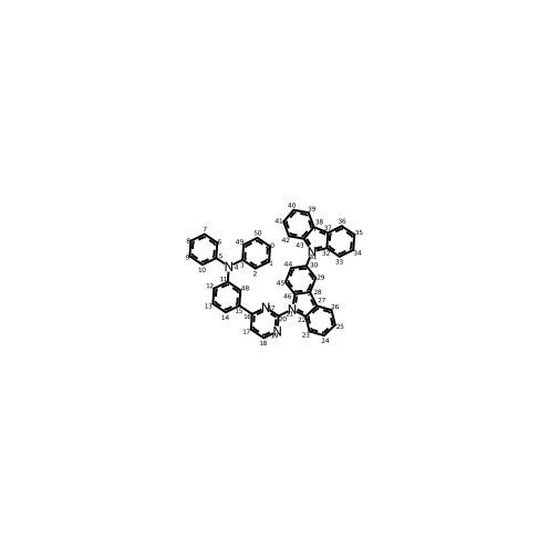 c1ccc(N(c2ccccc2)c2cccc(-c3ccnc(-n4c5ccccc5c5cc(-n6c7ccccc7c7ccccc76)ccc54)n3)c2)cc1